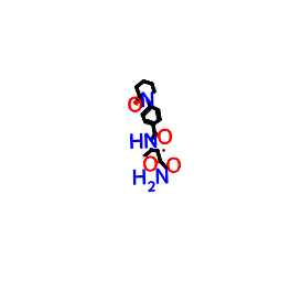 NC(=O)C1[CH]C(NC(=O)c2ccc(N3CCCCC3=O)cc2)CO1